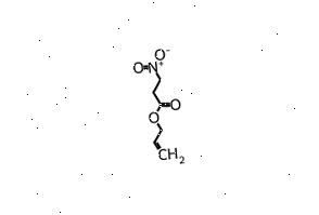 C=CCOC(=O)CC[N+](=O)[O-]